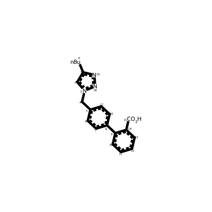 CCCCc1cn(Cc2ccc(-c3ccccc3C(=O)O)cc2)nn1